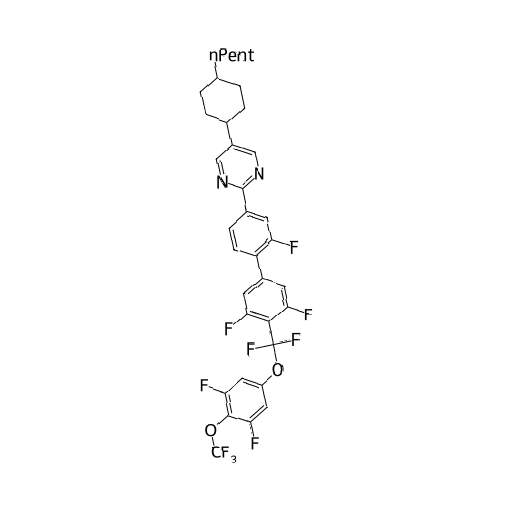 CCCCCC1CCC(c2cnc(-c3ccc(-c4cc(F)c(C(F)(F)Oc5cc(F)c(OC(F)(F)F)c(F)c5)c(F)c4)c(F)c3)nc2)CC1